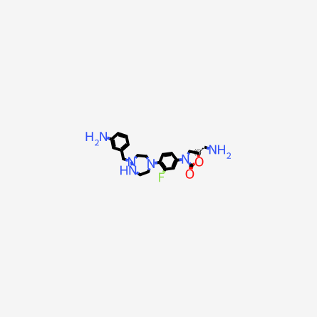 NC[C@H]1CN(c2ccc(N3CCNN(Cc4cccc(N)c4)CC3)c(F)c2)C(=O)O1